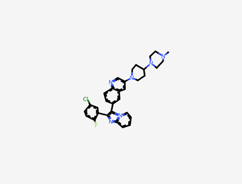 CN1CCN(C2CCN(c3cnc4ccc(-c5c(-c6cc(Cl)ccc6F)nc6ccccn56)cc4c3)CC2)CC1